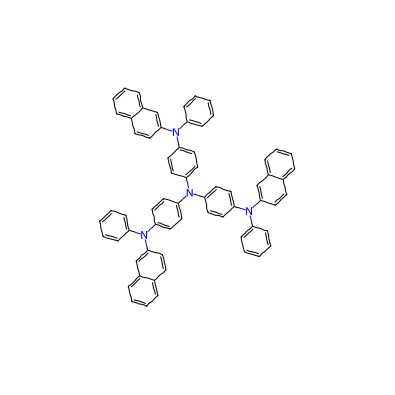 c1ccc(N(c2ccc(N(c3ccc(N(c4ccccc4)c4ccc5ccccc5c4)cc3)c3ccc(N(c4ccccc4)c4ccc5ccccc5c4)cc3)cc2)c2ccc3ccccc3c2)cc1